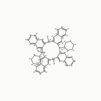 CN1c2cc3ncncc3cc2P(C2CCCCC2)c2cc3cncnc3cc2N(C)c2cc3ncncc3cc2[PH](C)(C2CCCCC2)c2cc3cncnc3cc21